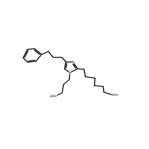 CCCCCCCCCCCCCCCCc1nc(CCCc2ccccc2)cn1CCCCCCCCCCCCC